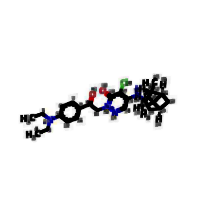 CCN(CC)c1ccc(C(=O)Cn2ncc(N[C@@H]3C[C@@H]4C[C@H]([C@H]3C)C4(C)C)c(Cl)c2=O)cc1